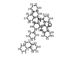 c1ccc2c(c1)cc(-c1ccc(-c3ccc(N(c4cc5ccccc5c5ccccc45)c4cccc5oc6c7ccccc7ccc6c45)cc3)cc1)c1ccccc12